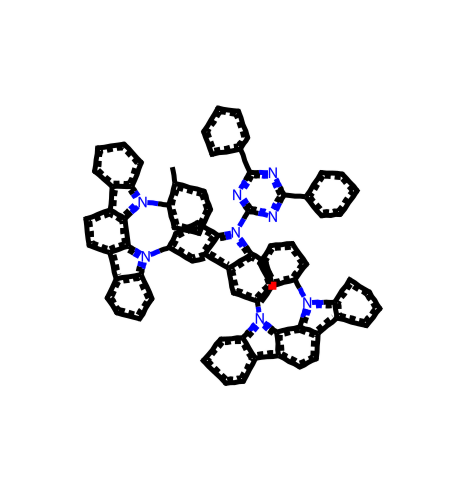 Cc1ccccc1-n1c2ccccc2c2ccc3c4ccccc4n(-c4ccc5c(c4)c4cc(-n6c7ccccc7c7ccc8c9ccccc9n(-c9ccccc9C)c8c76)ccc4n5-c4nc(-c5ccccc5)nc(-c5ccccc5)n4)c3c21